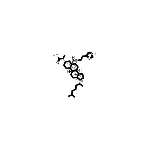 CC(C)CCCC(C)[C@H]1CC[C@H]2[C@@H]3C[C@@H](NCCc4c[nH]cn4)[C@@]4(O)C[C@@H](C(C)C(=O)O)CC[C@]4(C)[C@H]3CC[C@]12C